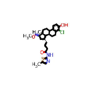 CO/N=C1\C[C@@H](CCCC(=O)Nc2ncc(C)s2)C2C3CCc4c(ccc(O)c4Cl)C3CC[C@]12C